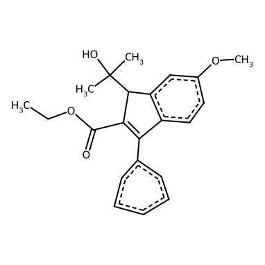 CCOC(=O)C1=C(c2ccccc2)c2ccc(OC)cc2C1C(C)(C)O